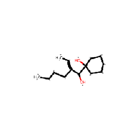 CC=C(CCCC)C(O)C1(O)CCCCC1